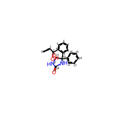 C=CC(O)c1ccccc1C1(c2ccccc2)NC(=O)NC1=O